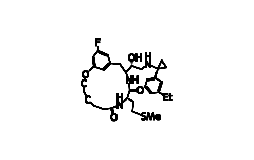 CCc1cccc(C2(NC[C@@H](O)C3Cc4cc(F)cc(c4)OCCCCCC(=O)NC(CCSC)C(=O)N3)CC2)c1